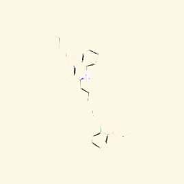 CCCCOc1c(C)c(C=CCCCOc2ccccc2OCC)nc2ccccc12